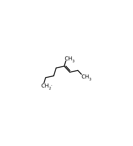 [CH2]CCCC(C)=CCC